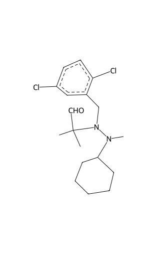 CN(C1CCCCC1)N(Cc1cc(Cl)ccc1Cl)C(C)(C)C=O